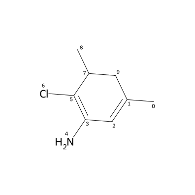 CC1=CC(N)=C(Cl)C(C)C1